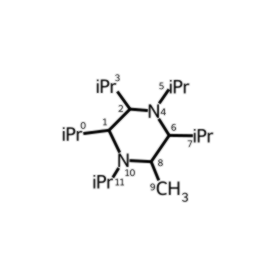 CC(C)C1C(C(C)C)N(C(C)C)C(C(C)C)C(C)N1C(C)C